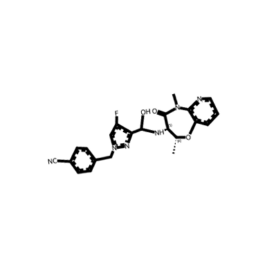 C[C@H]1Oc2cccnc2N(C)C(=O)[C@H]1NC(O)c1nn(Cc2ccc(C#N)cc2)cc1F